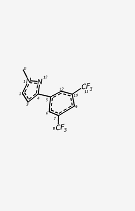 Cn1[c]cc(-c2cc(C(F)(F)F)cc(C(F)(F)F)c2)n1